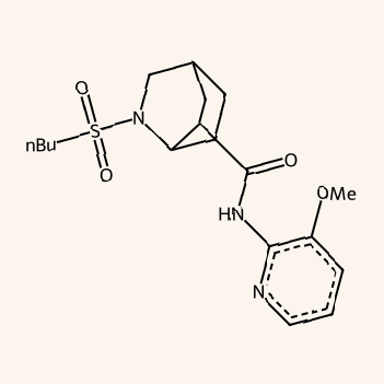 CCCCS(=O)(=O)N1CC2CCC1C(C(=O)Nc1ncccc1OC)C2